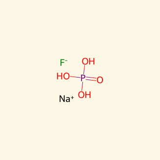 O=P(O)(O)O.[F-].[Na+]